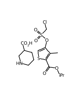 Cc1c(OS(=O)(=O)CCl)csc1C(=O)OC(C)C.O=C(O)C1CCCNC1